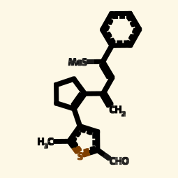 C=C(/C=C(\SC)c1ccccc1)C1=C(c2cc(C=O)sc2C)CCC1